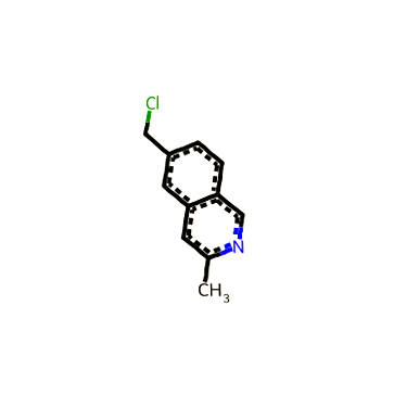 Cc1cc2cc(CCl)ccc2cn1